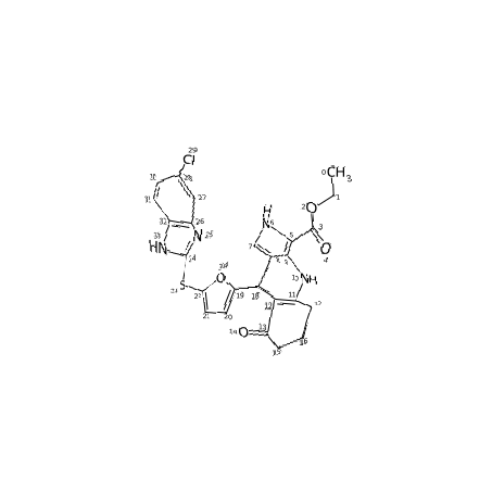 CCOC(=O)c1[nH]cc2c1NC1=C(C(=O)CCC1)C2c1ccc(Sc2nc3cc(Cl)ccc3[nH]2)o1